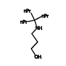 CCCC(CCC)(CCC)NCCCO